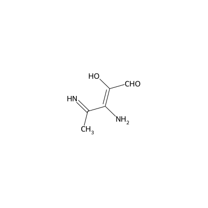 CC(=N)/C(N)=C(\O)C=O